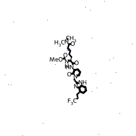 COC(=O)N[C@@H](CC/C=C/C(=O)N(C)C)C(=O)Nc1cccn(Cc2nc3c(CCC(F)(F)F)cccc3[nH]2)c1=O